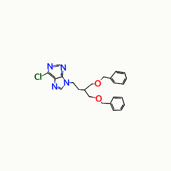 Clc1ncnc2c1ncn2CCC(COCc1ccccc1)COCc1ccccc1